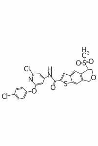 CS(=O)(=O)C1COCc2cc3sc(C(=O)Nc4cc(Cl)nc(Oc5ccc(Cl)cc5)c4)cc3cc21